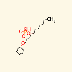 CCCCCCCCCC(COc1ccccc1)OP(=O)(O)O